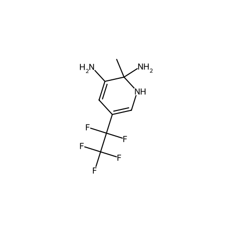 CC1(N)NC=C(C(F)(F)C(F)(F)F)C=C1N